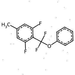 Cc1cc(F)c(C(F)(F)Oc2ccccc2)c(F)c1